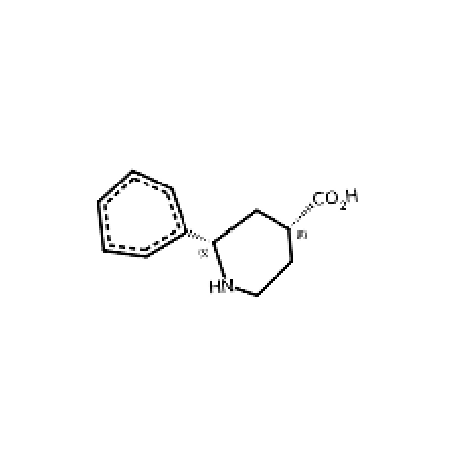 O=C(O)[C@@H]1CCN[C@H](c2ccccc2)C1